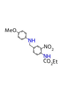 CCOC(=O)Nc1ccc(CNc2ccc(OC)cc2)cc1[N+](=O)[O-]